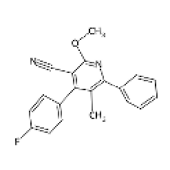 COc1nc(-c2ccccc2)c(C)c(-c2ccc(F)cc2)c1C#N